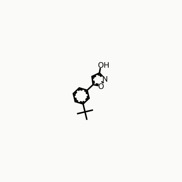 CC(C)(C)c1cccc(-c2cc(O)no2)c1